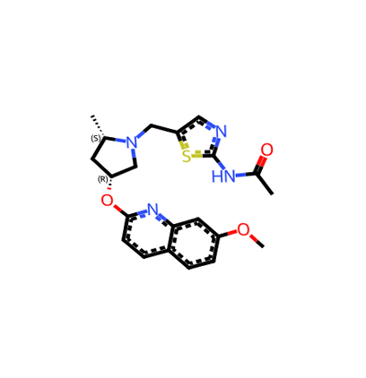 COc1ccc2ccc(O[C@@H]3C[C@H](C)N(Cc4cnc(NC(C)=O)s4)C3)nc2c1